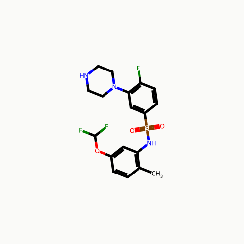 Cc1ccc(OC(F)F)cc1NS(=O)(=O)c1ccc(F)c(N2CCNCC2)c1